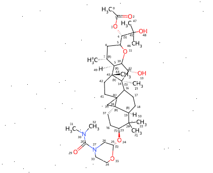 CC(=O)O[C@@H](C1C[C@@H](C)[C@H]2C(O1)[C@H](O)[C@@]1(C)C3CC[C@H]4C(C)(C)[C@@H](O[C@H]5CN(C(=O)N(C)C)CCO5)CC[C@@]45CC35CC[C@]21C)C(C)(C)O